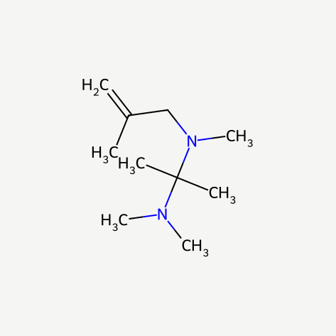 C=C(C)CN(C)C(C)(C)N(C)C